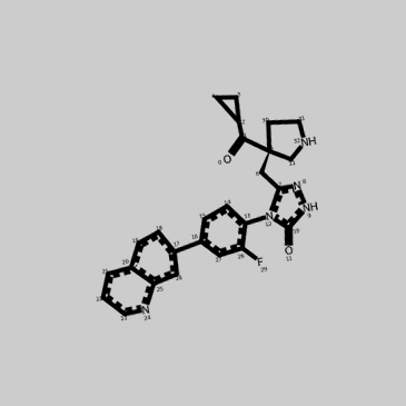 O=C(C1CC1)[C@]1(Cc2n[nH]c(=O)n2-c2ccc(-c3ccc4cccnc4c3)cc2F)CCNC1